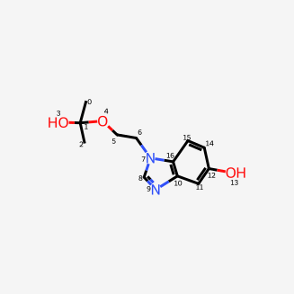 CC(C)(O)OCCn1cnc2cc(O)ccc21